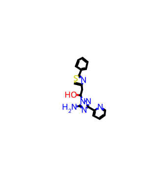 Nc1nc(-c2ccccn2)nn1C(O)Cc1csc(-c2ccccc2)n1